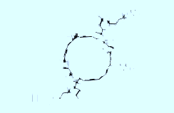 C/C=C/[C@H](OC(=O)CCC(=O)O)C(C)(C)C1C\C=C/C=C\C=C\[C@H](OC)Cc2nc(co2)C(=O)O[C@H](C(C)(C)[C@H](/C=C/C)OC(=O)CCC(=O)OC)C/C=C\[C@H]2O[C@H]2/C=C/C=C\c2nc(co2)C(=O)C1